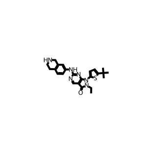 CCn1c(=O)c2cnc(Nc3ccc4c(c3)CNCC4)nc2n1-c1ccc(C(C)(C)C)s1